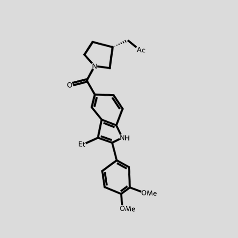 CCc1c(-c2ccc(OC)c(OC)c2)[nH]c2ccc(C(=O)N3CC[C@H](CC(C)=O)C3)cc12